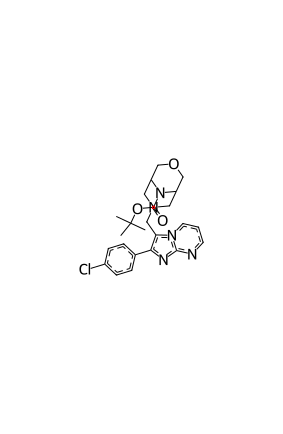 CC(C)(C)OC(=O)N1C2COCC1CN(Cc1c(-c3ccc(Cl)cc3)nc3ncccn13)C2